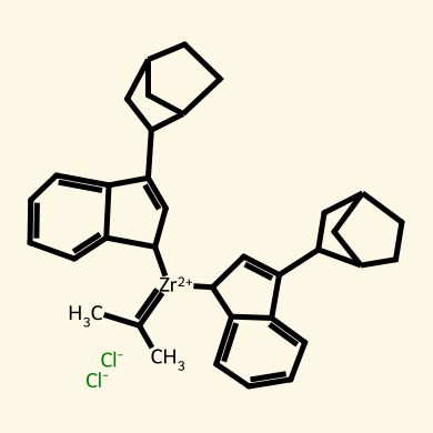 C[C](C)=[Zr+2]([CH]1C=C(C2CC3CCC2C3)c2ccccc21)[CH]1C=C(C2CC3CCC2C3)c2ccccc21.[Cl-].[Cl-]